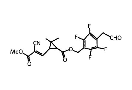 COC(=O)/C(C#N)=C/C1C(C(=O)OCc2c(F)c(F)c(CC=O)c(F)c2F)C1(C)C